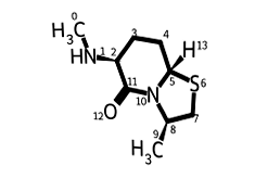 CN[C@H]1CC[C@@H]2SC[C@@H](C)N2C1=O